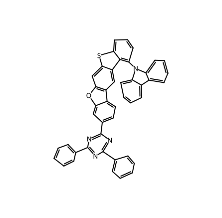 c1ccc(-c2nc(-c3ccccc3)nc(-c3ccc4c(c3)oc3cc5sc6cccc(-n7c8ccccc8c8ccccc87)c6c5cc34)n2)cc1